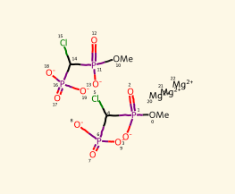 COP(=O)([O-])C(Cl)P(=O)([O-])[O-].COP(=O)([O-])C(Cl)P(=O)([O-])[O-].[Mg+2].[Mg+2].[Mg+2]